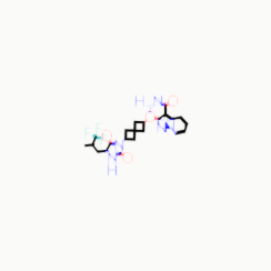 CC(CC1NC(=O)N([C@H]2CC3(C[C@H](Oc4nn5ccccc5c4C(N)=O)C3)C2)C1=O)C(F)(F)F